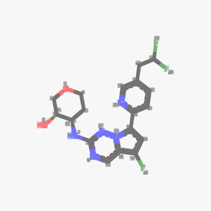 O[C@@H]1COCC[C@H]1Nc1ncc2c(F)cc(-c3ccc(CC(F)F)cn3)n2n1